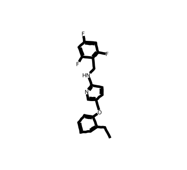 CCc1ccccc1Oc1ccc(NCc2c(F)cc(F)cc2F)nc1